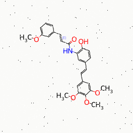 COc1cccc(/C=C/C(=O)Nc2cc(C=Cc3cc(OC)c(OC)c(OC)c3)ccc2O)c1